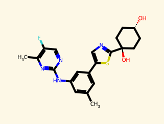 Cc1cc(Nc2ncc(F)c(C)n2)cc(-c2cnc([C@]3(O)CC[C@H](O)CC3)s2)c1